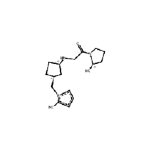 N#Cc1cccn1C[C@H]1CC[C@@H](NCC(=O)N2CCC[C@H]2C#N)C1